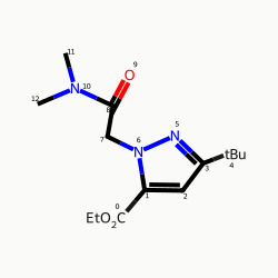 CCOC(=O)c1cc(C(C)(C)C)nn1CC(=O)N(C)C